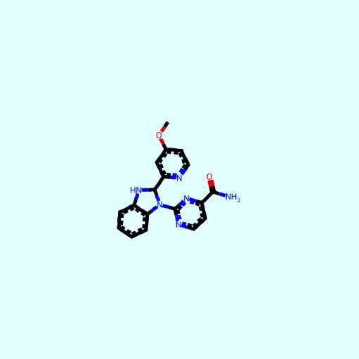 COc1ccnc(C2Nc3ccccc3N2c2nccc(C(N)=O)n2)c1